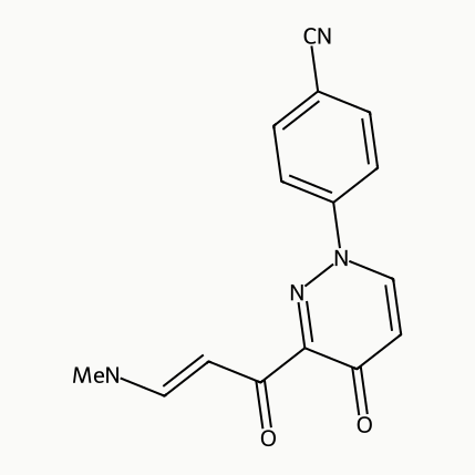 CNC=CC(=O)c1nn(-c2ccc(C#N)cc2)ccc1=O